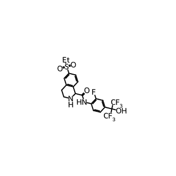 CCS(=O)(=O)c1ccc2c(c1)CCNC2C(=O)Nc1ccc(C(O)(C(F)(F)F)C(F)(F)F)cc1F